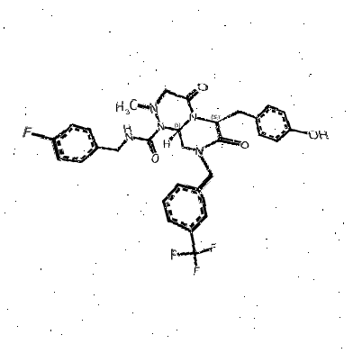 CN1CC(=O)N2[C@@H](Cc3ccc(O)cc3)C(=O)N(Cc3cccc(C(F)(F)F)c3)C[C@@H]2N1C(=O)NCc1ccc(F)cc1